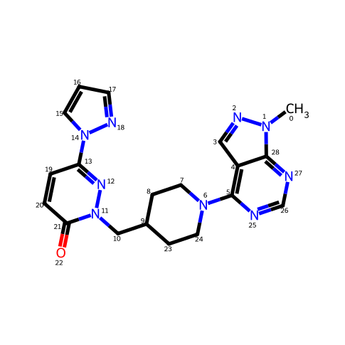 Cn1ncc2c(N3CCC(Cn4nc(-n5cccn5)ccc4=O)CC3)ncnc21